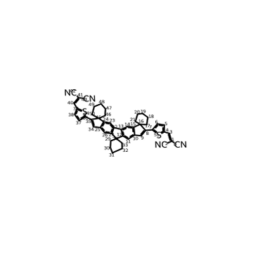 N#CC(C#N)=Cc1ccc(C2=Cc3cc4c(cc3C23CCCCC3)-c2cc3c(cc2C42CCCCC2)C=C(c2ccc(C=C(C#N)C#N)s2)C32CCCCC2)s1